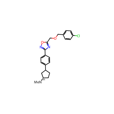 CN[C@@H]1CCC(c2ccc(-c3noc(COCc4ccc(Cl)cc4)n3)cc2)C1